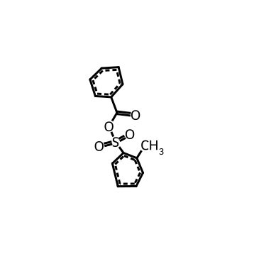 Cc1ccccc1S(=O)(=O)OC(=O)c1ccccc1